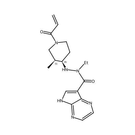 C=CC(=O)N1CC[C@@H](NN(CC)C(=O)c2c[nH]c3nccnc23)[C@@H](C)C1